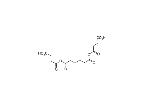 O=C(O)CCC(=O)OC(=O)CCCCC(=O)OC(=O)CCC(=O)O